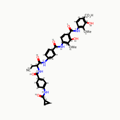 COc1c(NC(=O)c2ccc(NC(=O)c3ccc(NC(=O)C(CC#N)NC(=O)c4ccc(NC(=O)C5CC5)cc4)cc3)c(OC)c2O)ccc(C(=O)O)c1O